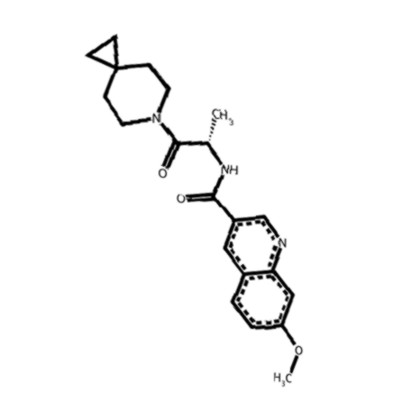 COc1ccc2cc(C(=O)N[C@@H](C)C(=O)N3CCC4(CC3)CC4)cnc2c1